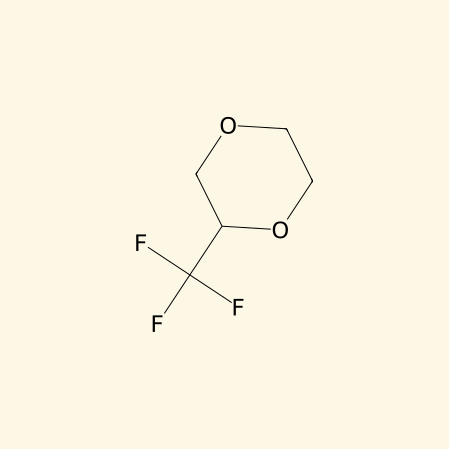 FC(F)(F)C1COCCO1